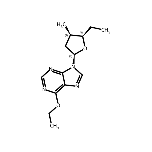 CCOc1ncnc2c1ncn2[C@H]1C[C@@H](C)[C@@H](CC)O1